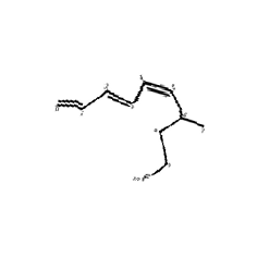 C=C/C=C/C=C\C(C)CCF